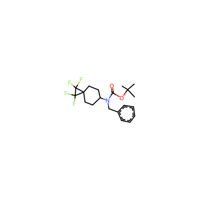 CC(C)(C)OC(=O)N(Cc1ccccc1)C1CCC2(CC1)C(F)(F)C2(F)F